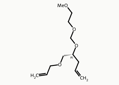 C=CCOC[C@@H](CC=C)OCOCCOC